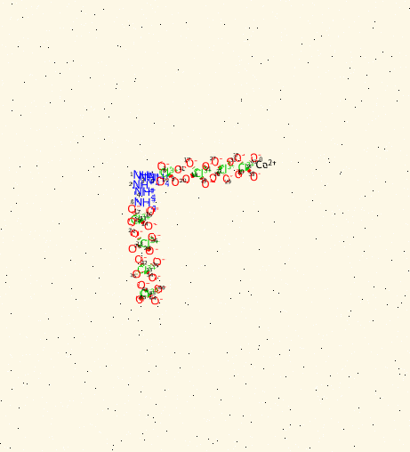 [Co+2].[NH4+].[NH4+].[NH4+].[NH4+].[NH4+].[NH4+].[O-][Cl+3]([O-])([O-])[O-].[O-][Cl+3]([O-])([O-])[O-].[O-][Cl+3]([O-])([O-])[O-].[O-][Cl+3]([O-])([O-])[O-].[O-][Cl+3]([O-])([O-])[O-].[O-][Cl+3]([O-])([O-])[O-].[O-][Cl+3]([O-])([O-])[O-].[O-][Cl+3]([O-])([O-])[O-]